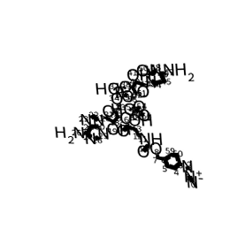 [N-]=[N+]=Nc1ccc(COC(=O)NCCC(=O)O[C@H]2[C@@H](O)[C@H](n3cnc4c(N)ncnc43)O[C@@H]2COP(=O)(O)O[C@H]2[C@@H](O)[C@H](n3ccc(N)nc3=O)O[C@@H]2COP(=O)(O)O)cc1